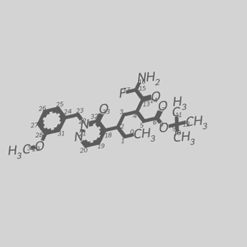 CCC(CC(CC(=O)OC(C)(C)C)C(=O)C(N)F)c1ccnn(Cc2cccc(OC)c2)c1=O